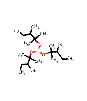 CCC(C)C(C)(C)OB(OC(C)(C)C(C)CC)OC(C)(C)C(C)CC